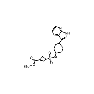 CC(C)(C)OC(=O)N1CC(S(=O)(=O)NC2CCC(c3c[nH]c4ncccc34)CC2)C1